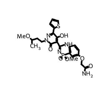 COC(C)CCn1nc(-c2cccs2)c(O)c(C2=NP(=O)(OC)c3cc(OCC(N)=O)ccc3N2)c1=O